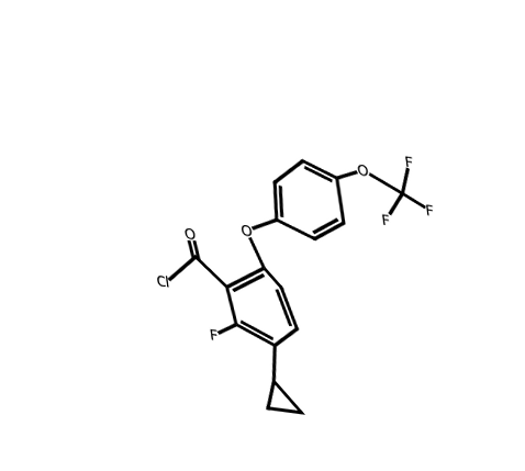 O=C(Cl)c1c(Oc2ccc(OC(F)(F)F)cc2)ccc(C2CC2)c1F